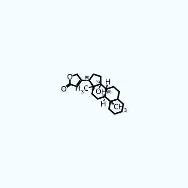 C[C@]12CCCCC1CC[C@@H]1[C@@H]2CC[C@]2(C)[C@@H](C3=CC(=O)OC3)CC[C@]12O